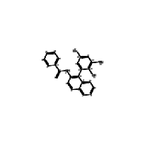 C=C(Nc1ccc2ccccc2c1-c1cc(C(C)(C)C)cc(C(C)(C)C)c1O)c1ccccc1